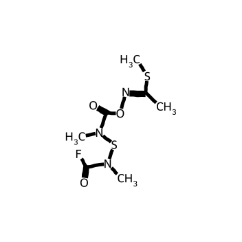 CSC(C)=NOC(=O)N(C)SN(C)C(=O)F